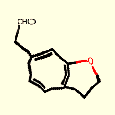 O=CCc1ccc2c(c1)OCC2